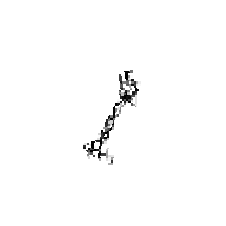 NC(=O)COCCOOCCOOCCOOCCOCS(=O)(=O)c1cc(-c2c(F)cc(F)c(F)c2F)c(F)cc1Cl